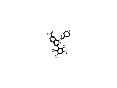 CNc1cc2c(NCC3CCOCC3)nc(-c3c(Cl)c(OC)cc(OC)c3Cl)cc2cn1